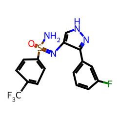 NS(=O)(=Nc1c[nH]nc1-c1cccc(F)c1)c1ccc(C(F)(F)F)cc1